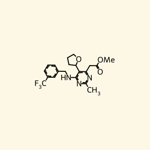 COC(=O)Cc1nc(C)nc(NCc2cccc(C(F)(F)F)c2)c1C1CCCO1